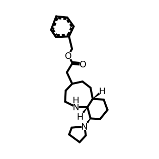 O=C(CC1CCN[C@@H]2[C@@H](CCC[C@H]2N2CCCC2)CC1)OCc1ccccc1